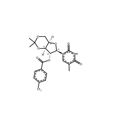 Cc1cn([C@@H]2O[C@@H]3COC(C)(C)O[C@@H]3[C@H]2OC(=O)c2ccc(C(F)(F)F)cc2)c(=O)[nH]c1=O